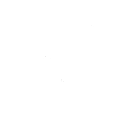 C[C@@H]1OC[C@H](C/C=C\CCCC(=O)O)[C@H](CNCc2ccccn2)O1